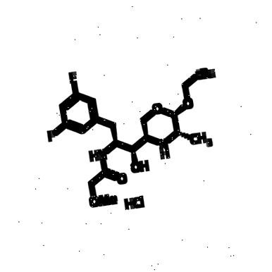 COCC(=O)N[C@@H](Cc1cc(F)cc(F)c1)[C@H](O)[C@H]1CO[C@@H](OCC(C)(C)C)[C@H](C)N1.Cl